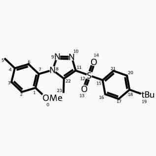 COc1ccc(C)cc1-n1nnc(S(=O)(=O)c2ccc(C(C)(C)C)cc2)c1C